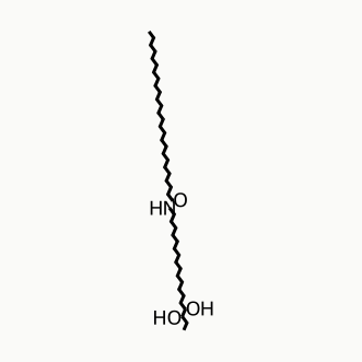 CCCCCCCCCCCCCCCCCCCCCCCCCC(=O)NCCCCCCCCCCCCCCC(O)C(O)CC